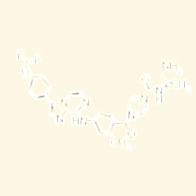 Cc1cc(Nc2nccn3c(-c4ccc(OC(F)F)cc4)cnc23)ccc1C(=O)N1CCN(C(=O)N[C@H](C)CN)CC1